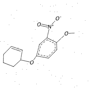 COc1ccc(OC2C=CCCC2)cc1[N+](=O)[O-]